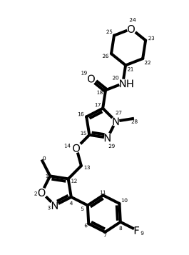 Cc1onc(-c2ccc(F)cc2)c1COc1cc(C(=O)NC2CCOCC2)n(C)n1